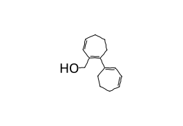 OCC1=C(C2=CC=CCCC2)CCCC=C1